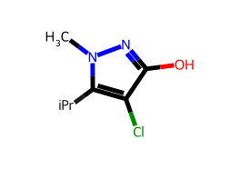 CC(C)c1c(Cl)c(O)nn1C